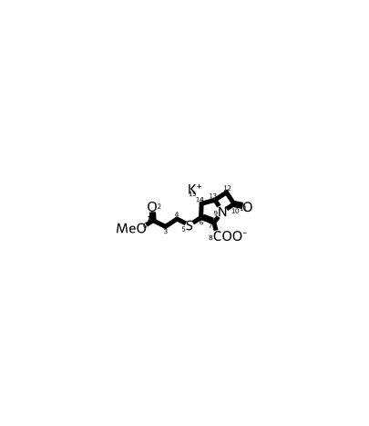 COC(=O)CCSC1=C(C(=O)[O-])N2C(=O)CC2C1.[K+]